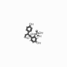 CCC(c1ccc(O)cc1)C(O)(O)c1ccc(O)cc1SP(=O)(O)O